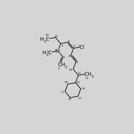 C=CN(C)C(/C=C(Cl)\C=C\CC(C)C1CCCCC1)CC